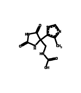 Cc1ncsc1C1(CNC(=O)O)NC(=O)NC1=O